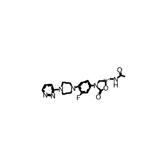 CC(=O)NC[C@H]1CN(c2ccc(N3CCN(c4cccnn4)CC3)c(F)c2)C(=O)O1